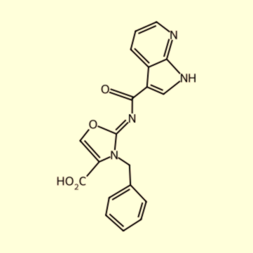 O=C(/N=c1\occ(C(=O)O)n1Cc1ccccc1)c1c[nH]c2ncccc12